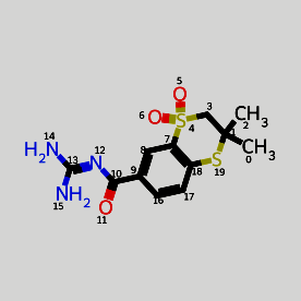 CC1(C)CS(=O)(=O)c2cc(C(=O)N=C(N)N)ccc2S1